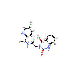 C[C@H](NC(=O)Cn1c(=O)[nH]c2ccccc2c1=O)c1ccc(Cl)cn1